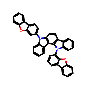 c1ccc2c(c1)oc1cc(-n3c4ccccc4c4c3ccc3c5ccccc5n(-c5cccc6c5oc5ccccc56)c34)ccc12